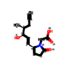 C#CC[C@@H](C)[C@@H](O)/C=C/[C@H]1CCC(=O)N1BC(=O)O